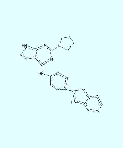 c1ccc2[nH]c(-c3ccc(Nc4nc(N5CCCC5)nc5[nH]ncc45)cc3)nc2c1